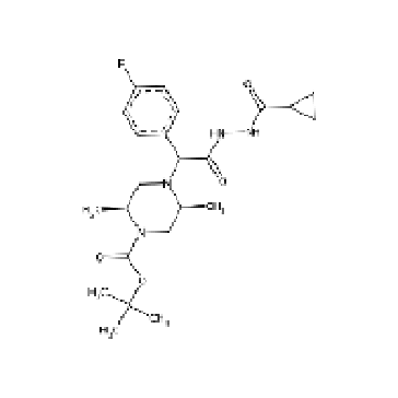 C[C@H]1CN(C(C(=O)NNC(=O)C2CC2)c2ccc(F)cc2)[C@@H](C)CN1C(=O)OC(C)(C)C